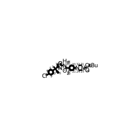 C#CC(C)(c1ccc(Cl)cc1)c1coc(NC(=O)c2c(F)cc(N3CCN(C(=O)OC(C)(C)C)CC3)cc2F)n1